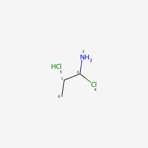 CCC(N)Cl.Cl